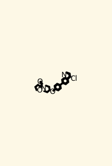 O=C[C@@]1(N2CCC(Oc3ccc(-c4ccc5c(Cl)ccnc5c4)cc3)CC2)CCCO1